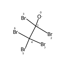 [O]C(Br)(Br)C(Br)(Br)Br